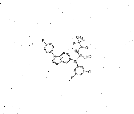 CC(F)(F)C(=O)N[C@H](C=O)[C@@H](c1cc(F)cc(Cl)c1)c1ccc2c(cnn2-c2ccc(F)cc2)c1